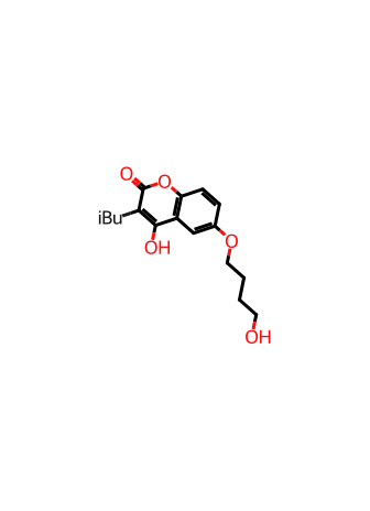 CCC(C)c1c(O)c2cc(OCCCCO)ccc2oc1=O